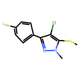 CSc1c(Cl)c(-c2ccc(F)cc2)nn1C